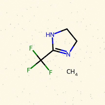 C.FC(F)(F)C1=NCCN1